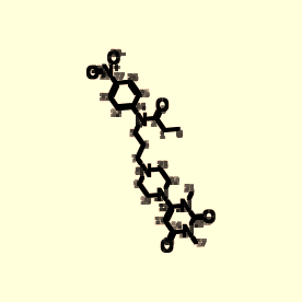 CCC(=O)N(CCCN1CCN(c2cc(=O)n(C)c(=O)n2C)CC1)c1ccc([N+](=O)[O-])cc1